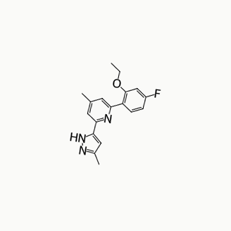 CCOc1cc(F)ccc1-c1cc(C)cc(-c2cc(C)n[nH]2)n1